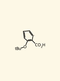 CC(C)(C)Oc1ccc[c]c1C(=O)O